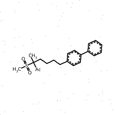 CC(=O)C(C)(CCCCc1ccc(-c2ccccc2)cc1)S(C)(=O)=O